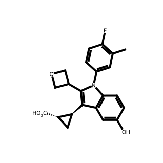 Cc1cc(-n2c(C3COC3)c([C@H]3C[C@@H]3C(=O)O)c3cc(O)ccc32)ccc1F